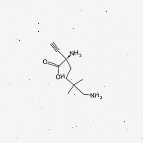 C#C[C@](N)(CCC(C)(C)CN)C(=O)O